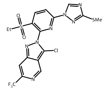 CCS(=O)(=O)c1ccc(-n2cnc(SC)n2)nc1-n1nc2cc(C(F)(F)F)ncc2c1Cl